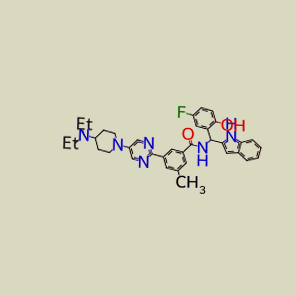 CCN(CC)C1CCN(c2cnc(-c3cc(C)cc(C(=O)NC(c4cc5ccccc5[nH]4)c4cc(F)ccc4O)c3)nc2)CC1